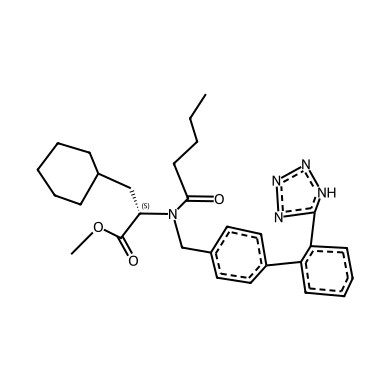 CCCCC(=O)N(Cc1ccc(-c2ccccc2-c2nnn[nH]2)cc1)[C@@H](CC1CCCCC1)C(=O)OC